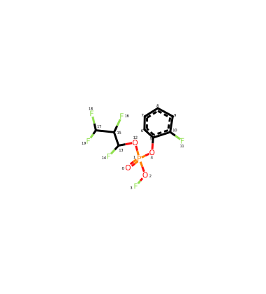 O=P(OF)(Oc1ccccc1F)OC(F)C(F)C(F)F